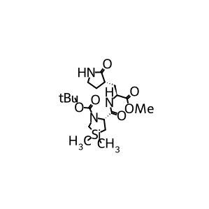 COC(=O)[C@H](C[C@@H]1CCNC1=O)NC(=O)[C@@H]1C[Si](C)(C)CN1C(=O)OC(C)(C)C